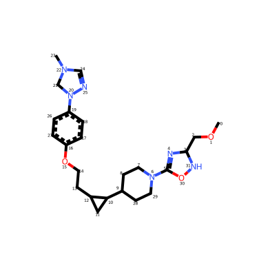 COCC1N=C(N2CCC(C3CC3CCOc3ccc(N4CN(C)C=N4)cc3)CC2)ON1